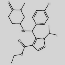 CCOC(=O)c1ccn(C(C)C)c1C(NC1CCC(=O)N(C)C1)c1ccc(Cl)cc1